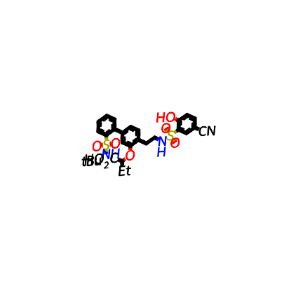 CCC(Oc1cc(-c2ccccc2S(=O)(=O)NC(C)(C)C)ccc1CCNS(=O)(=O)c1cc(C#N)ccc1O)C(=O)O